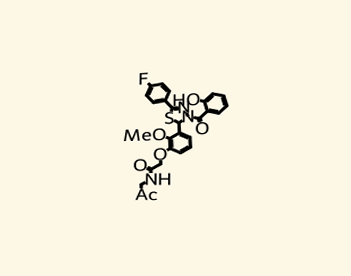 COc1c(OCC(=O)NCC(C)=O)cccc1C1SC(c2ccc(F)cc2)=NN1C(=O)c1ccccc1O